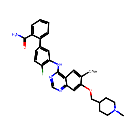 COc1cc2c(Nc3cc(-c4ccccc4C(N)=O)ccc3F)ncnc2cc1OCC1CCN(C)CC1